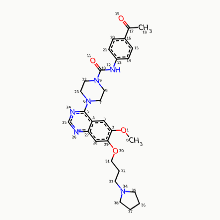 COc1cc2c(N3CCN(C(=O)Nc4ccc(C(C)=O)cc4)CC3)ncnc2cc1OCCCN1CCCC1